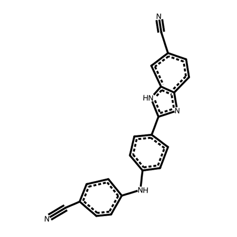 N#Cc1ccc(Nc2ccc(-c3nc4ccc(C#N)cc4[nH]3)cc2)cc1